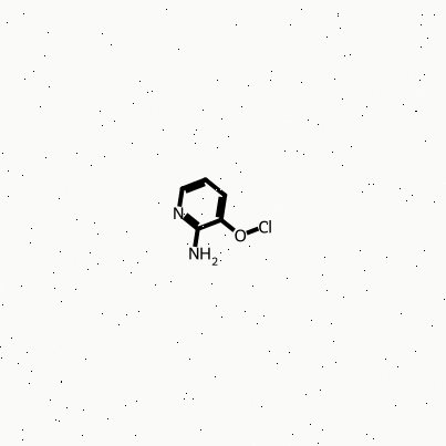 Nc1ncccc1OCl